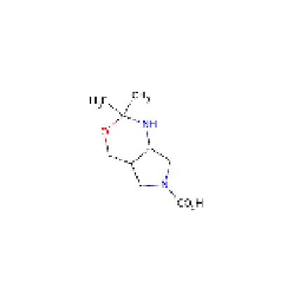 CC1(C)NC2CN(C(=O)O)CC2CO1